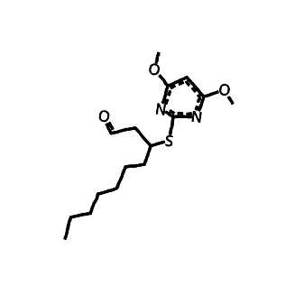 CCCCCCCC(CC=O)Sc1nc(OC)cc(OC)n1